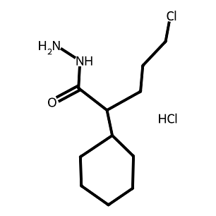 Cl.NNC(=O)C(CCCCl)C1CCCCC1